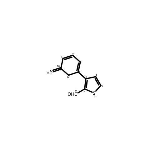 O=Cc1sccc1C1=CC=CC(=S)C1